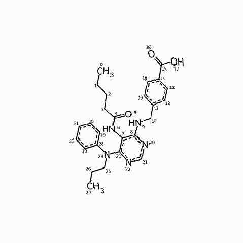 CCCCC(=O)Nc1c(NCc2ccc(C(=O)O)cc2)ncnc1N(CCC)c1ccccc1